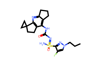 CCCn1cc(F)c(S(N)(=O)=NC(=O)Nc2c3c(nc4c2CCC42CC2)CCC3)n1